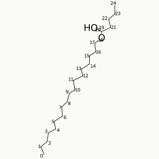 CCCCCCCCCCCCCCCCCCOC(O)CCCC